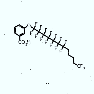 O=C(O)c1cccc(OC(F)(F)C(F)(F)C(F)(F)C(F)(F)C(F)(F)C(F)(F)C(F)(F)CCCCC(F)(F)F)c1